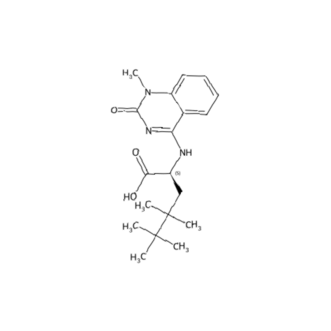 Cn1c(=O)nc(N[C@@H](CC(C)(C)C(C)(C)C)C(=O)O)c2ccccc21